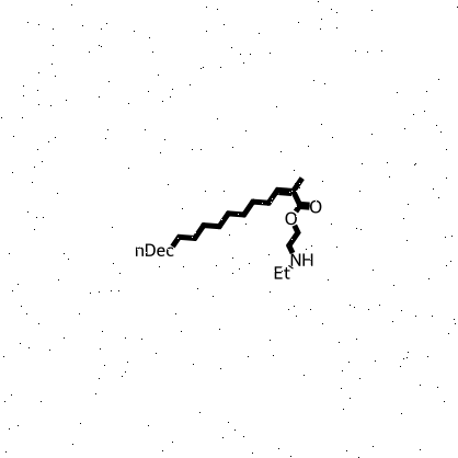 CCCCCCCCCCCCCCCCCCC=C(C)C(=O)OCCNCC